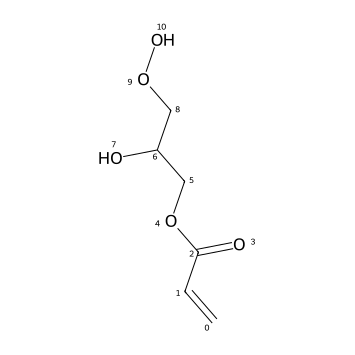 C=CC(=O)OCC(O)COO